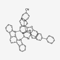 N#Cc1ccc(-c2cc(-n3c4ccccc4c4ccc5c6ccccc6n(-c6nc(-c7ccccc7)nc(-c7ccc(-c8ccccc8)cc7)n6)c5c43)cc3c2oc2ccccc23)cc1